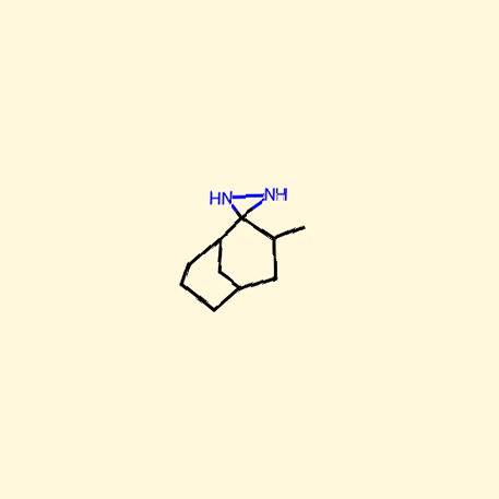 CC1CC2CCCC(C2)C12NN2